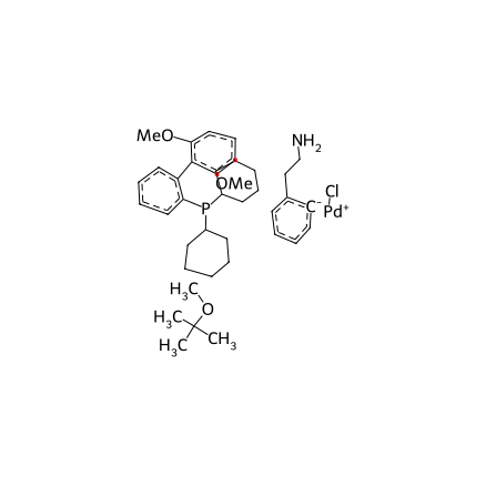 COC(C)(C)C.COc1cccc(OC)c1-c1ccccc1P(C1CCCCC1)C1CCCCC1.NCCc1[c-]cccc1.[Cl][Pd+]